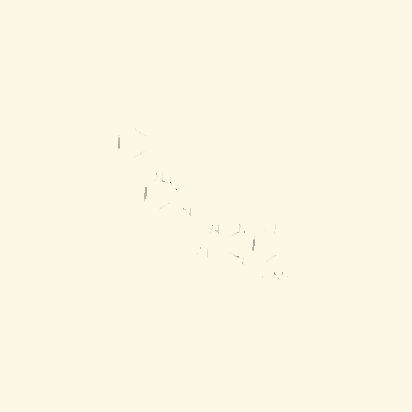 COC(=O)c1ncc(N2CCN(c3nnc(Cc4ccccc4)c4c3CCC4)C[C@H]2C)nc1C(F)(F)F